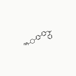 CCCC1CCC(c2ccc(-c3ccc(C[C@@H](C)c4ccccc4)cc3)cc2)CC1